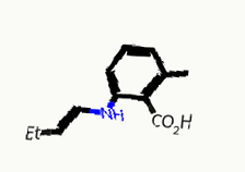 CCC=CNc1cccc(C)c1C(=O)O